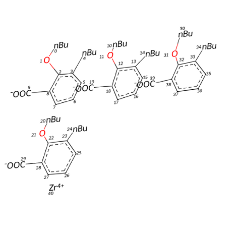 CCCCOc1c(CCCC)cccc1C(=O)[O-].CCCCOc1c(CCCC)cccc1C(=O)[O-].CCCCOc1c(CCCC)cccc1C(=O)[O-].CCCCOc1c(CCCC)cccc1C(=O)[O-].[Zr+4]